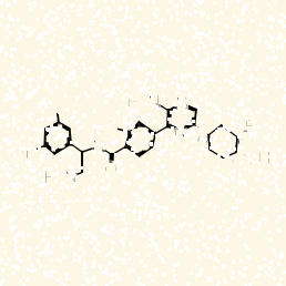 NCC(NC(=O)c1ccc(-c2nc([C@@H]3CC[C@@H](O)[C@H](F)C3)cnc2N)cc1F)c1cc(F)cc(Br)c1